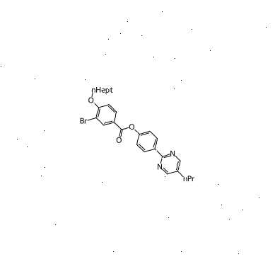 CCCCCCCOc1ccc(C(=O)Oc2ccc(-c3ncc(CCC)cn3)cc2)cc1Br